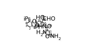 CC(C)c1cccc(C(C)C)c1OC(=O)CC(C)(C)CNC(=O)[C@@H](N)CC(N)=O.O=CO